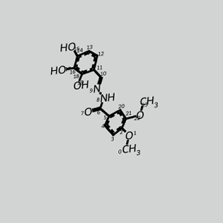 COc1ccc(C(=O)NN=Cc2ccc(O)c(O)c2O)cc1OC